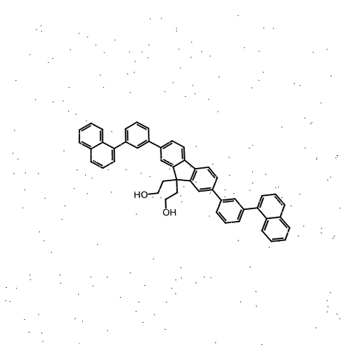 OCCC1(CCO)c2cc(-c3cccc(-c4cccc5ccccc45)c3)ccc2-c2ccc(-c3cccc(-c4cccc5ccccc45)c3)cc21